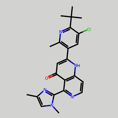 Cc1cn(C)c(-c2nccc3[nH]c(-c4cc(Cl)c(C(C)(C)C)nc4C)cc(=O)c23)n1